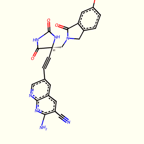 COc1ccc2c(c1)C(=O)N(C[C@@]1(C#Cc3cnc4nc(N)c(C#N)cc4c3)NC(=O)NC1=O)C2